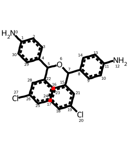 Nc1ccc(C(OC(c2ccc(N)cc2)c2cccc(Cl)c2)c2cccc(Cl)c2)cc1